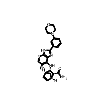 NC(=O)[C@@H]1[C@H](Nc2c(Br)cnc3[nH]c(-c4cccc(N5CCOCC5)c4)nc23)[C@H]2C=C[C@@H]1C2